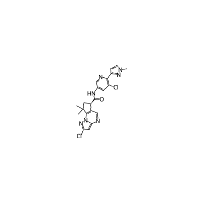 Cn1ccc(-c2ncc(NC(=O)[C@@H]3CC(C)(C)c4c3cnc3cc(Cl)nn43)cc2Cl)n1